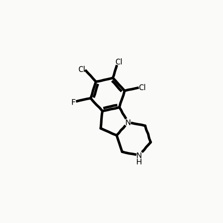 Fc1c(Cl)c(Cl)c(Cl)c2c1CC1CNCCN21